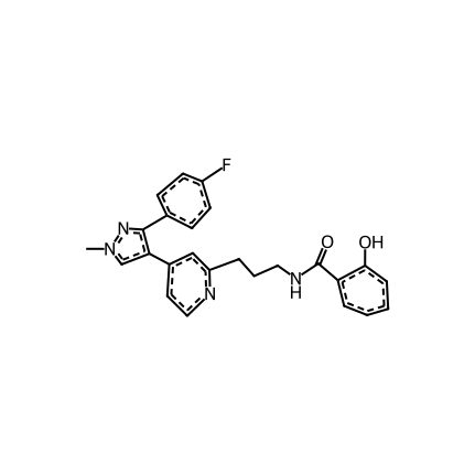 Cn1cc(-c2ccnc(CCCNC(=O)c3ccccc3O)c2)c(-c2ccc(F)cc2)n1